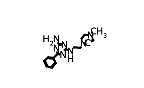 CN1CCN(CCNc2nc(N)nc(-c3ccccc3)n2)CC1